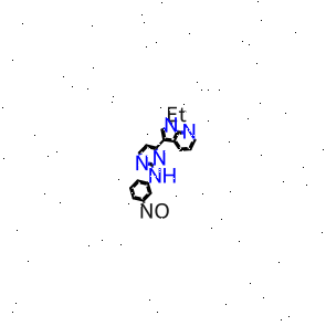 CCn1cc(-c2ccnc(Nc3cccc(N=O)c3)n2)c2cccnc21